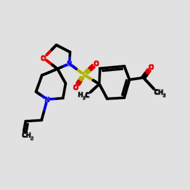 C=CCN1CCC2(CC1)OCCN2S(=O)(=O)C1(C)C=CC(C(C)=O)=CC1